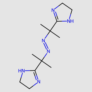 CC(C)(/N=N/C(C)(C)C1=NCCN1)C1=NCCN1